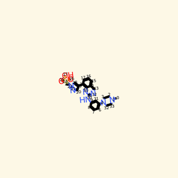 CN1CCN(c2cccc(Nc3ncc4cccc(-c5cnn(CS(=O)(=O)O)c5)c4n3)c2)CC1